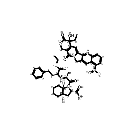 CCOC(=O)[C@H](CCc1ccccc1)N[C@@H](C)C(=O)N1[C@H](C(=O)O)C[C@H]2CCCC[C@@H]21.CC[C@@]1(O)C(=O)OCc2c1cc1n(c2=O)Cc2cc3c([N+](=O)[O-])cccc3nc2-1